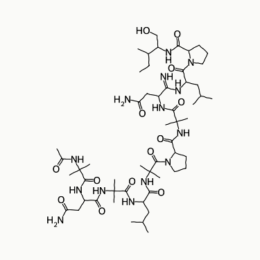 CCC(C)C(CO)NC(=O)C1CCCN1C(=O)C(CC(C)C)NC(=N)C(CC(N)=O)NC(=O)C(C)(C)NC(=O)C1CCCN1C(=O)C(C)(C)NC(=O)C(CC(C)C)NC(=O)C(C)(C)NC(=O)C(CC(N)=O)NC(=O)C(C)(C)NC(C)=O